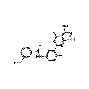 Cc1ccc(NC(=O)c2cccc(CF)c2)cc1-c1cc(C)c2c(N)n[nH]c2n1